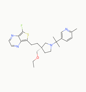 CCOC[C@@]1(CCc2sc(F)c3nccnc23)CCN(C(C)(C)c2ccc(C)nc2)C1